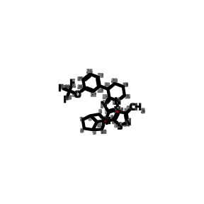 Cc1cc(N2CC3CCC(C2)C3Nc2nc3n(n2)CCCC3c2cccc(OC(F)(F)F)c2)sn1